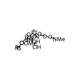 CNCCOCCOCCOc1cc([C@H](C(=O)N2C[C@H](O)C[C@H]2C(=O)N[C@@H](C)c2ccc(-c3scnc3C)cc2OC)C(C)C)on1.Cl